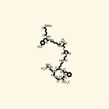 CNC(=O)CCCC(=O)NC(Cc1ccc(O)cc1)C(=O)NCCCCCC(=O)NC(CSC1CC(=O)N(CCC(=O)NCCCCC2NC(=O)C(Cc3ccccc3)NC(=O)C(CC(=O)O)NC(=O)CNC(=O)[C@H](CCCNC(N)N)NC2=O)C1=O)C(N)=O